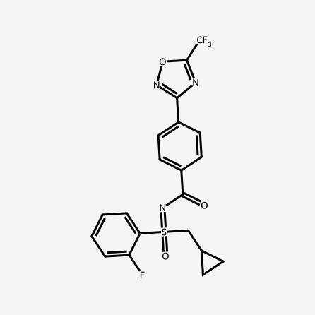 O=C(N=S(=O)(CC1CC1)c1ccccc1F)c1ccc(-c2noc(C(F)(F)F)n2)cc1